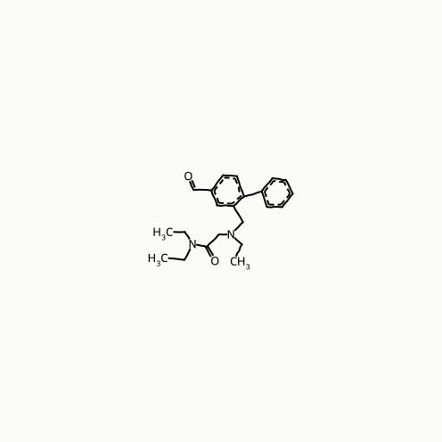 CCN(CC(=O)N(CC)CC)Cc1cc(C=O)ccc1-c1ccccc1